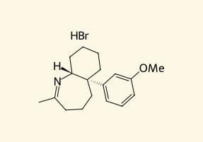 Br.COc1cccc([C@@]23CCCC[C@H]2N=C(C)CCC3)c1